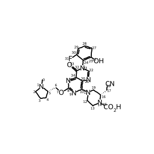 CN1CCC[C@H]1COc1nc(N2CCN(C(=O)O)[C@@H](CC#N)C2)c2ncn(-c3c(O)cccc3F)c(=O)c2n1